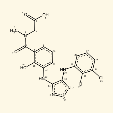 CN(CC(=O)O)C(=O)c1cccc(Nc2nsnc2Nc2cccc(Cl)c2Cl)c1O